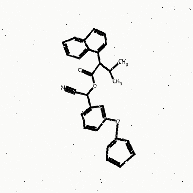 CC(C)C(C(=O)OC(C#N)c1cccc(Oc2ccccc2)c1)c1cccc2ccccc12